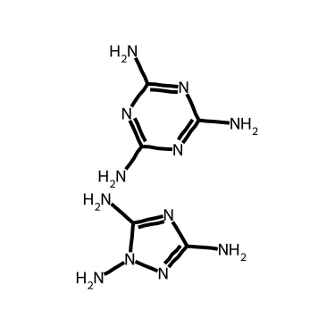 Nc1nc(N)n(N)n1.Nc1nc(N)nc(N)n1